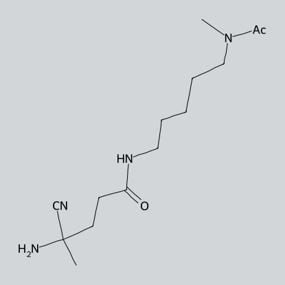 CC(=O)N(C)CCCCCNC(=O)CCC(C)(N)C#N